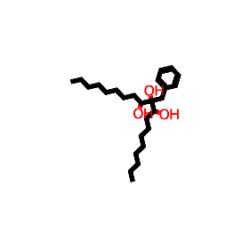 CCCCCCCCC(O)C(O)(Cc1ccccc1)C(O)CCCCCCCC